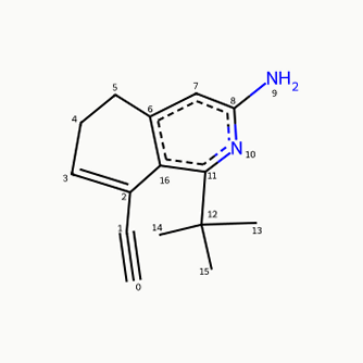 C#CC1=CCCc2cc(N)nc(C(C)(C)C)c21